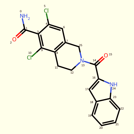 NC(=O)c1c(Cl)cc2c(c1Cl)CCN(C(=O)c1cc3ccccc3[nH]1)C2